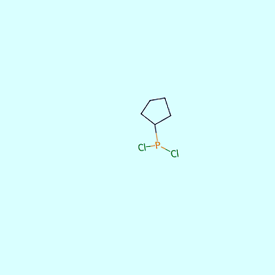 ClP(Cl)C1CCCC1